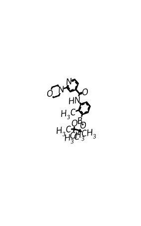 Cc1c(NC(=O)c2ccnc(N3CCOCC3)c2)cccc1B1OC(C)(C)C(C)(C)O1